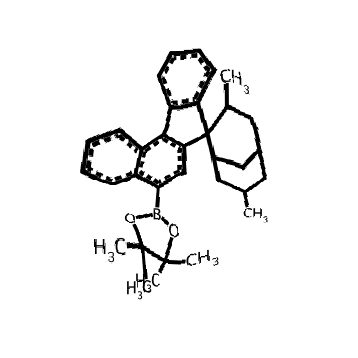 CC1CC2CC(C)C3(c4ccccc4-c4c3cc(B3OC(C)(C)C(C)(C)O3)c3ccccc43)C(C1)C2